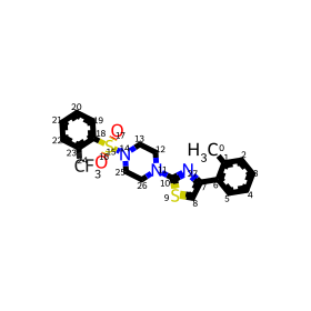 Cc1ccccc1-c1csc(N2CCN(S(=O)(=O)c3ccccc3C(F)(F)F)CC2)n1